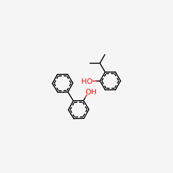 CC(C)c1ccccc1O.Oc1ccccc1-c1ccccc1